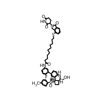 Cc1ccc(S(=O)(=O)N2CC[C@@H]3[C@H](CO)Nc4ccc(-c5cc(NC(=O)CCCCCCCCCCSc6cccc7c6CN(C6CCC(=O)NC6=O)C7=O)ccc5F)cc4[C@@H]32)cc1